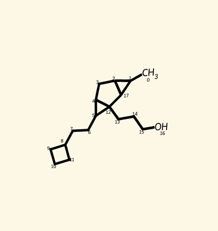 CC1C2CC3C(CCC4CCC4)C3(CCCO)C12